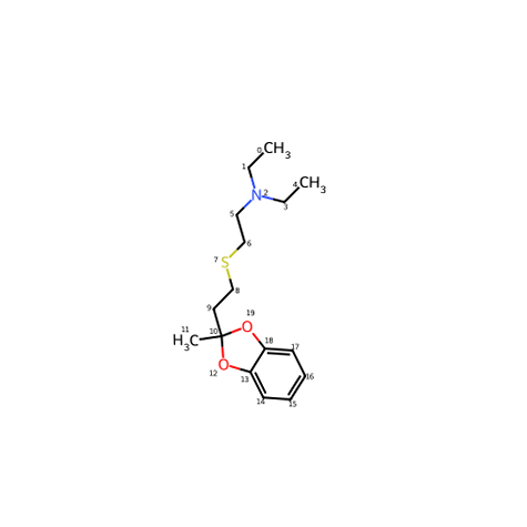 CCN(CC)CCSCCC1(C)Oc2ccccc2O1